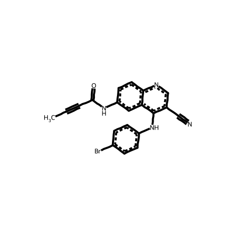 CC#CC(=O)Nc1ccc2ncc(C#N)c(Nc3ccc(Br)cc3)c2c1